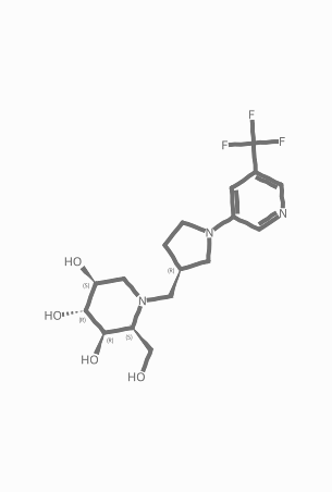 OC[C@H]1[C@@H](O)[C@H](O)[C@@H](O)CN1C[C@H]1CCN(c2cncc(C(F)(F)F)c2)C1